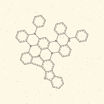 c1ccc(N2c3ccccc3B3c4c2cc2c5c4-n4c6c3cccc6c3c6oc7ccccc7c6cc(c34)B5c3cccc4c3N2c2ccccc2[SiH]4c2ccccc2)cc1